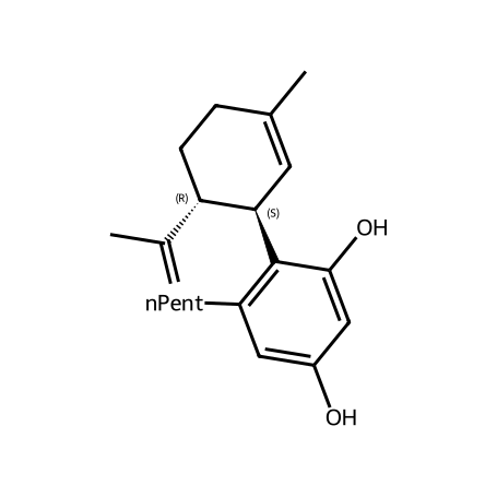 C=C(C)[C@@H]1CCC(C)=C[C@H]1c1c(O)cc(O)cc1CCCCC